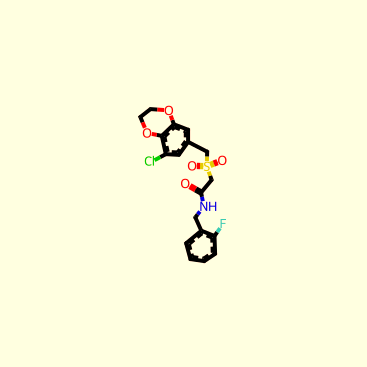 O=C(CS(=O)(=O)Cc1cc(Cl)c2c(c1)OCCO2)NCc1ccccc1F